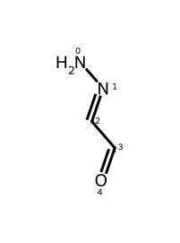 NN=C[C]=O